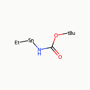 C[CH2][Sn][NH]C(=O)OC(C)(C)C